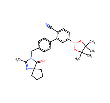 CC1=NC2(CCCC2)C(=O)N1Cc1ccc(-c2cc(B3OC(C)(C)C(C)(C)O3)ccc2C#N)cc1